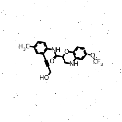 Cc1ccc(NC(=O)C2CNc3cc(OC(F)(F)F)ccc3O2)c(C#CCO)c1